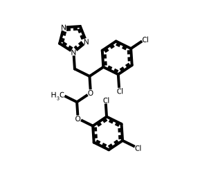 CC(Oc1ccc(Cl)cc1Cl)OC(Cn1cncn1)c1ccc(Cl)cc1Cl